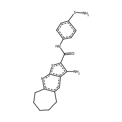 NSc1ccc(NC(=O)c2sc3nc4c(cc3c2N)CCCCC4)cc1